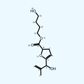 C=C(C)C(O)C1=CCC(C(=O)OCCCCO)O1